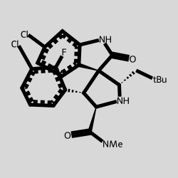 CNC(=O)[C@@H]1N[C@@H](CC(C)(C)C)[C@@]2(C(=O)Nc3cc(Cl)ccc32)[C@H]1c1cccc(Cl)c1F